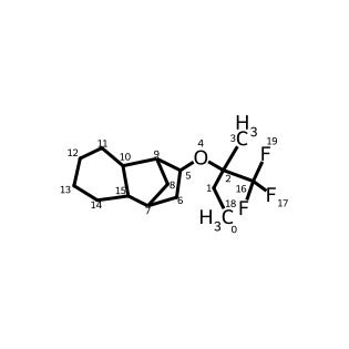 CCC(C)(OC1CC2CC1C1CCCCC21)C(F)(F)F